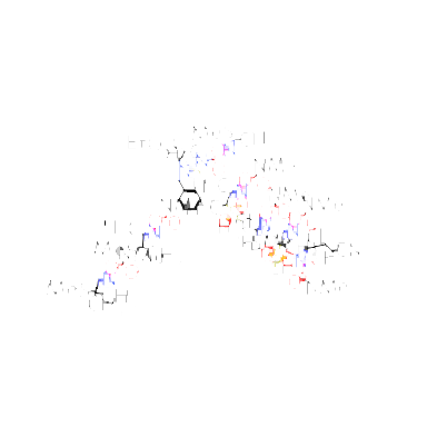 CCOC(=O)CCN(Cc1ccccc1)SN(C)C(=O)O/N=C(/C)SC.CNC(=O)O/N=C(\C)C(C)S(C)(=O)=O.CNC(=O)O/N=C(\C)C(C)SC.CNC(=O)O/N=C(\C)SC.CNC(=O)O/N=C/C(C)(C)S(C)(=O)=O.CNC(=O)O/N=C/C(C)(C)SC.CNC(=O)O/N=C\C(C)(C)CCC#N